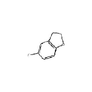 Fc1ccc2c(c1)CCS2